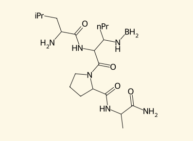 BNC(CCC)C(NC(=O)C(N)CC(C)C)C(=O)N1CCCC1C(=O)NC(C)C(N)=O